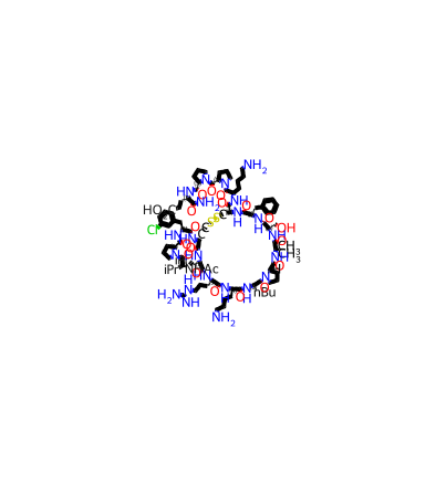 CCCC[C@@H]1NC(=O)[C@@H](CCCCN)NC(=O)[C@H](CCCNC(=N)N)NC(=O)[C@H](CC(C)C)NC(=O)C(NC(=O)[C@H](Cc2cccc(Cl)c2)NC(=O)[C@@H]2CCCN2C(=O)[C@@H](NC(C)=O)C(C)C)CCSSC[C@@H](C(=O)NC(CCCCN)C(=O)N2CCC[C@H]2C(=O)N2CCC[C@H]2C(=O)N[C@@H](CCC(=O)O)C(N)=O)NC(=O)[C@H](Cc2ccccc2)NC(=O)[C@H](CO)NC(=O)C(C)(C)NC(=O)[C@@H]2CCCN2C1=O